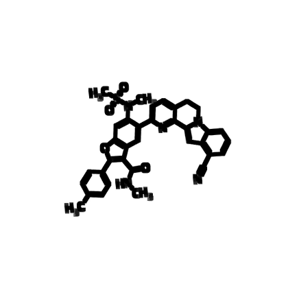 CNC(=O)c1c(-c2ccc(C)cc2)oc2cc(N(C)S(C)(=O)=O)c(-c3ccc4c(n3)-c3cc5c(C#N)cccc5n3CC4)cc12